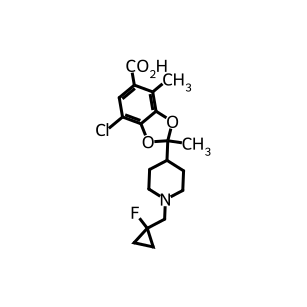 Cc1c(C(=O)O)cc(Cl)c2c1OC(C)(C1CCN(CC3(F)CC3)CC1)O2